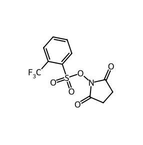 O=C1CCC(=O)N1OS(=O)(=O)c1ccccc1C(F)(F)F